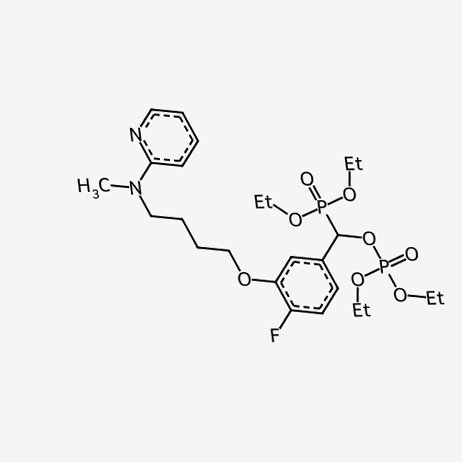 CCOP(=O)(OCC)OC(c1ccc(F)c(OCCCCN(C)c2ccccn2)c1)P(=O)(OCC)OCC